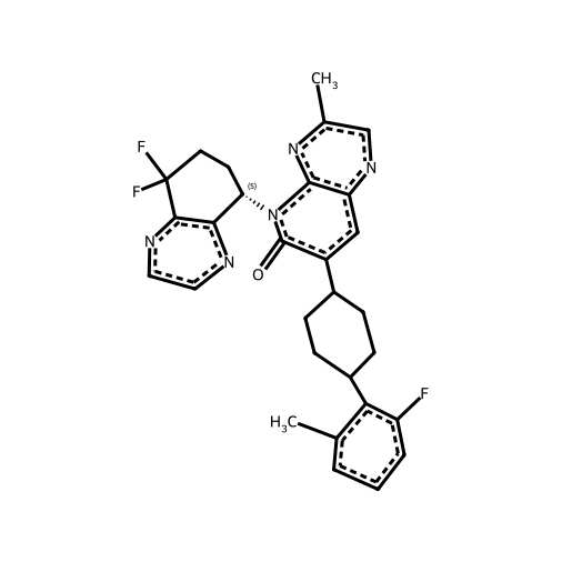 Cc1cnc2cc(C3CCC(c4c(C)cccc4F)CC3)c(=O)n([C@H]3CCC(F)(F)c4nccnc43)c2n1